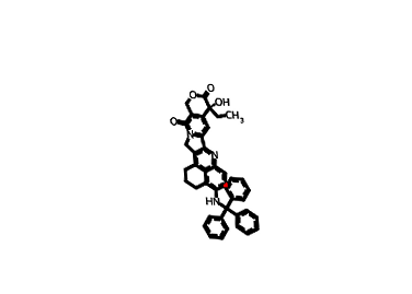 CC[C@@]1(O)C(=O)OCc2c1cc1n(c2=O)Cc2c-1nc1ccc(NC(c3ccccc3)(c3ccccc3)c3ccccc3)c3c1c2CCC3